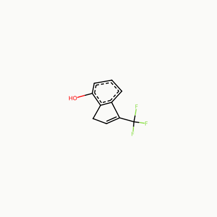 Oc1cccc2c1CC=C2C(F)(F)F